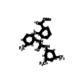 COC(=O)c1ccccc1Oc1ccc(C(F)(F)F)cc1NC(=O)Nc1cc(C(F)(F)F)cc(C(F)(F)F)c1